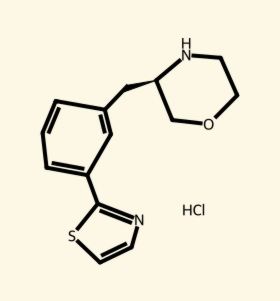 Cl.c1cc(C[C@@H]2COCCN2)cc(-c2nccs2)c1